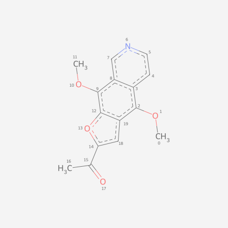 COc1c2ccncc2c(OC)c2oc(C(C)=O)cc12